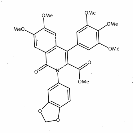 COC(=O)c1c(-c2cc(OC)c(OC)c(OC)c2)c2cc(OC)c(OC)cc2c(=O)n1-c1ccc2c(c1)OCO2